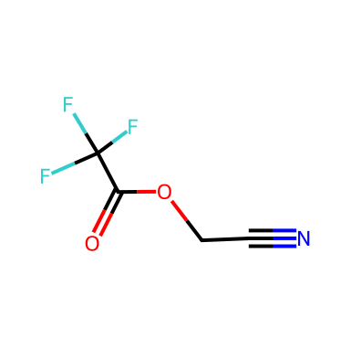 N#CCOC(=O)C(F)(F)F